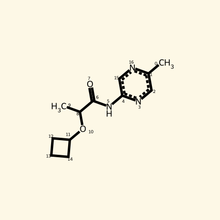 Cc1cnc(NC(=O)C(C)OC2CCC2)cn1